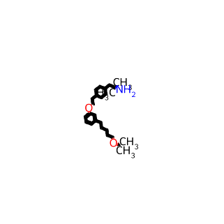 CC(C)OCCCCCc1cccc(OCCC2CCC(CC(C)(C)N)CC2)c1